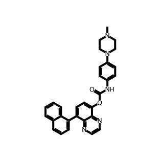 CN1CCN(c2ccc(NC(=O)Oc3ccc(-c4cccc5ccccc45)c4nccnc34)cc2)CC1